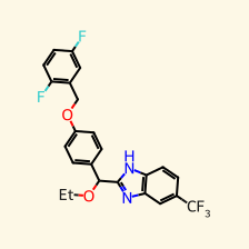 CCOC(c1ccc(OCc2cc(F)ccc2F)cc1)c1nc2cc(C(F)(F)F)ccc2[nH]1